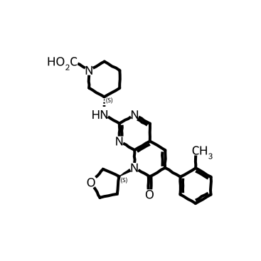 Cc1ccccc1-c1cc2cnc(N[C@H]3CCCN(C(=O)O)C3)nc2n([C@H]2CCOC2)c1=O